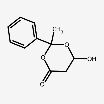 CC1(c2ccccc2)OC(=O)CC(O)O1